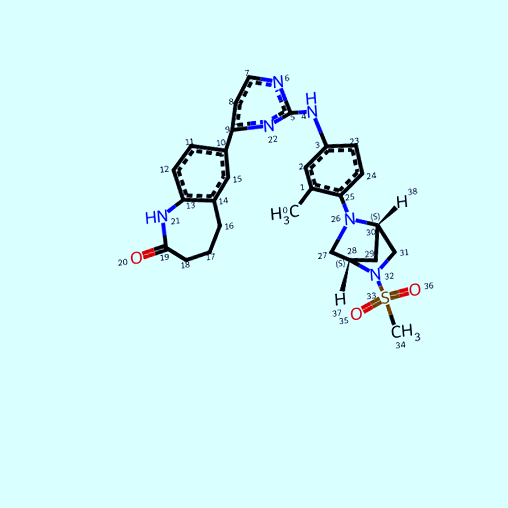 Cc1cc(Nc2nccc(-c3ccc4c(c3)CCCC(=O)N4)n2)ccc1N1C[C@@H]2C[C@H]1CN2S(C)(=O)=O